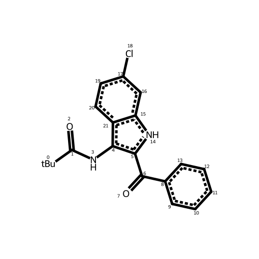 CC(C)(C)C(=O)Nc1c(C(=O)c2ccccc2)[nH]c2cc(Cl)ccc12